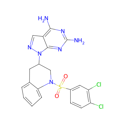 Nc1nc(N)c2cnn(C3Cc4ccccc4N(S(=O)(=O)c4ccc(Cl)c(Cl)c4)C3)c2n1